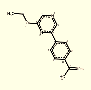 CCOc1cncc(-c2ccc(C(=O)O)cc2)n1